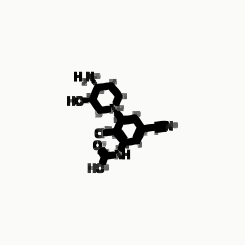 N#Cc1cc(NC(=O)O)c(Cl)c(N2CC[C@@H](N)[C@H](O)C2)c1